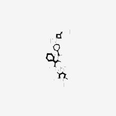 CSc1cc(C)[nH]c(=O)c1CNC(=O)c1c(C)n([C@H](C)C2CCC(NC3CC(O)C3)CC2)c2ccccc12